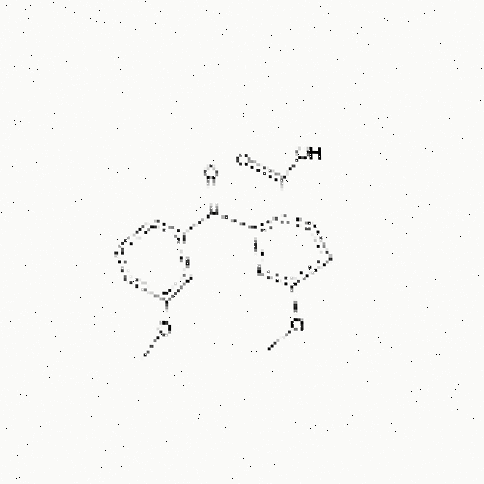 COc1cccc(C(=O)c2cc(OC)ccc2C(=O)O)c1